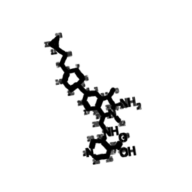 CC1c2cc(-c3ccc(CCC4CC4)cc3)ccc2C(CNc2cnccc2C(=O)O)N(C)[C@@H]1N